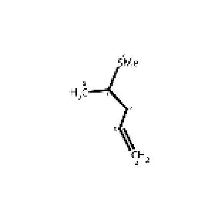 [CH2]C(CC=C)SC